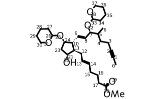 CC#CCCC(C)[C@@H](C=C[C@@H]1[C@@H](CC=CCCCC(=O)OC)[C@@H](O)C[C@H]1OC1CCCCO1)OC1CCCCO1